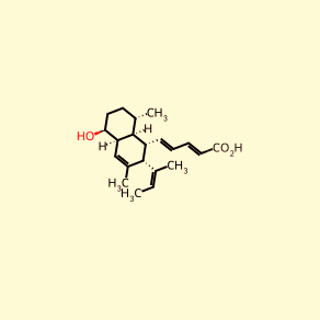 C/C=C(/C)[C@@H]1C(C)=C[C@@H]2[C@H]([C@@H]1/C=C/C=C/C(=O)O)[C@@H](C)CC[C@@H]2O